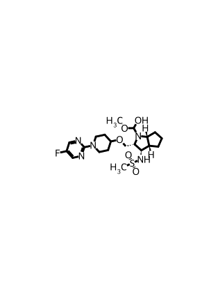 COC(O)N1[C@@H]2CCC[C@@H]2[C@H](NS(C)(=O)=O)[C@@H]1COC1CCN(c2ncc(F)cn2)CC1